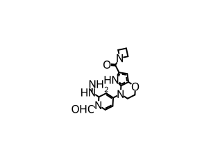 NNC1C=C(N2CCOc3cc(C(=O)N4CCC4)[nH]c32)C=CN1C=O